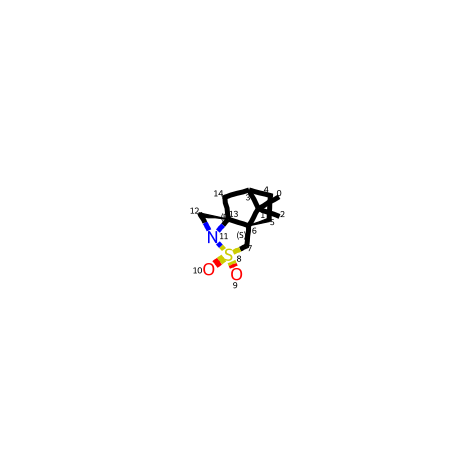 CC1(C)C2CC[C@]13CS(=O)(=O)N1C[C@]13C2